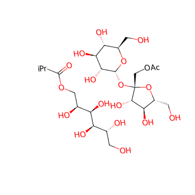 CC(=O)OC[C@@]1(O[C@H]2O[C@H](CO)[C@@H](O)[C@H](O)[C@H]2O)O[C@H](CO)[C@@H](O)[C@@H]1O.CC(C)C(=O)OC[C@H](O)[C@@H](O)[C@H](O)[C@H](O)CO